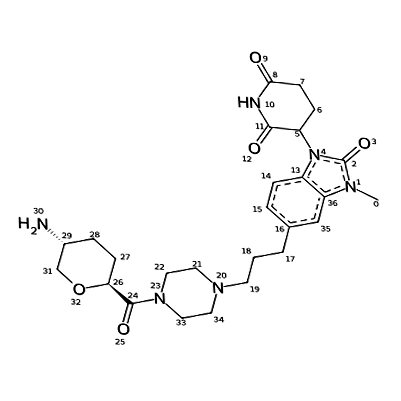 Cn1c(=O)n(C2CCC(=O)NC2=O)c2ccc(CCCN3CCN(C(=O)[C@@H]4CC[C@@H](N)CO4)CC3)cc21